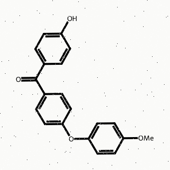 COc1ccc(Oc2ccc(C(=O)c3ccc(O)cc3)cc2)cc1